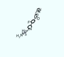 NNC(=S)OCc1ccc(-c2ccc(N3C[C@H](Cn4ccnn4)OC3=O)cc2F)cn1